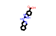 O=C(O)c1ccc2[nH]c(Nc3cc4ccccc4cn3)nc2c1